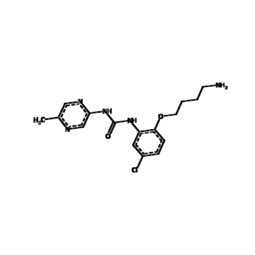 Cc1cnc(NC(=O)Nc2cc(Cl)ccc2OCCCCN)cn1